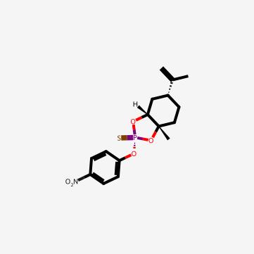 C=C(C)[C@@H]1CC[C@]2(C)O[P@](=S)(Oc3ccc([N+](=O)[O-])cc3)O[C@@H]2C1